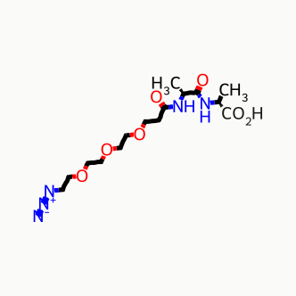 C[C@H](NC(=O)[C@H](C)NC(=O)CCOCCOCCOCCN=[N+]=[N-])C(=O)O